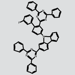 Fc1cccc(-c2ccc(-n3c4ccccc4c4ccc(-c5nc(-c6ccccc6)nc(-c6ccccc6)n5)cc43)cc2-c2nc(-c3ccccc3)nc(-c3ccccc3)n2)c1